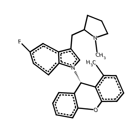 Cc1cccc2c1[C@@H](n1cc(CC3CCCN3C)c3cc(F)ccc31)c1ccccc1O2